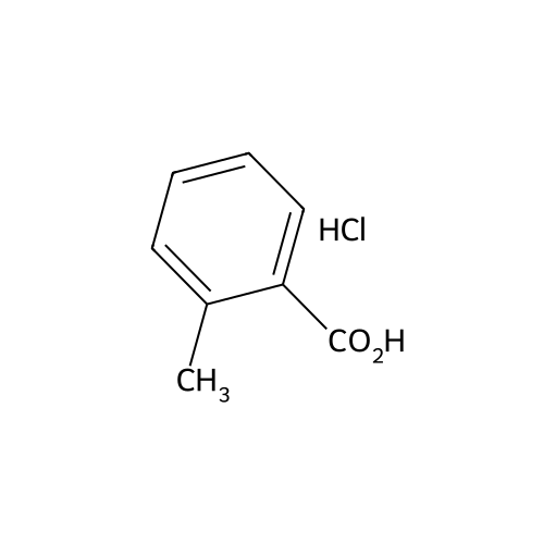 Cc1ccccc1C(=O)O.Cl